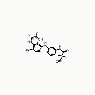 C[C@@H](O)[C@@H](C)Nc1nc(Nc2cccc(NC(=O)S(C)(C)N=O)c2)ncc1Br